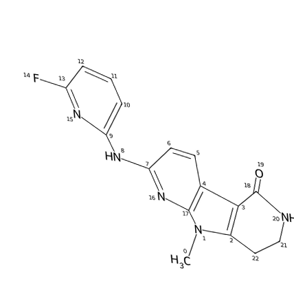 Cn1c2c(c3ccc(Nc4cccc(F)n4)nc31)C(=O)NCC2